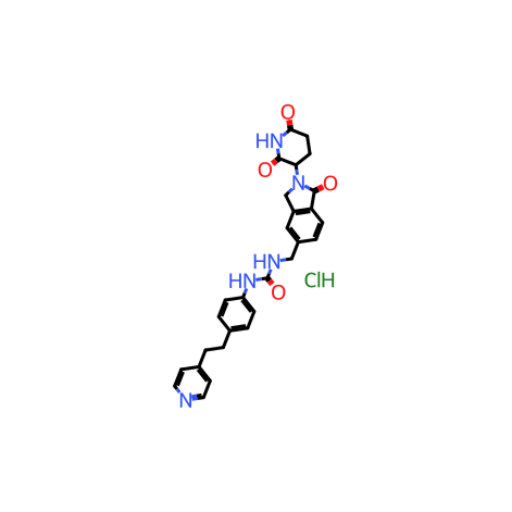 Cl.O=C1CCC(N2Cc3cc(CNC(=O)Nc4ccc(CCc5ccncc5)cc4)ccc3C2=O)C(=O)N1